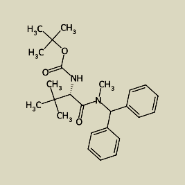 CN(C(=O)[C@@H](NC(=O)OC(C)(C)C)C(C)(C)C)C(c1ccccc1)c1ccccc1